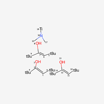 CC(C)(C)C=C(O)C(C)(C)C.CC(C)(C)C=C(O)C(C)(C)C.CC(C)(C)C=C(O)C(C)(C)C.C[N](C)[Ti]